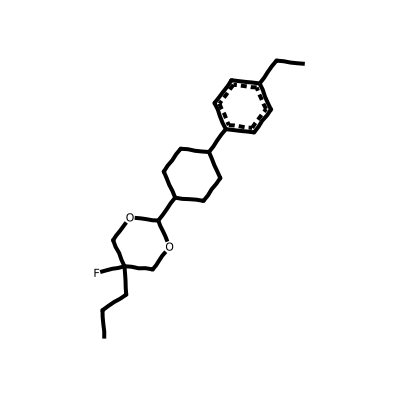 CCCC1(F)COC(C2CCC(c3ccc(CC)cc3)CC2)OC1